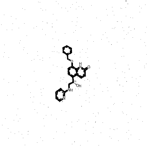 O=c1ccc2c([C@H](O)CNc3ccccn3)ccc(OCc3ccccc3)c2[nH]1